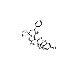 Cc1nn2c(c1C(=O)NC(C)(C)c1ccc(Cl)cc1)NC(c1ccccc1)CC2(C)C